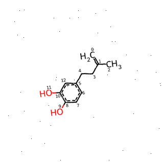 C=C(C)CCc1ccc(O)c(O)c1